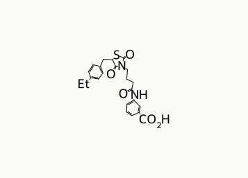 CCc1ccc(CC2SC(=O)N(CCCC(=O)Nc3cccc(C(=O)O)c3)C2=O)cc1